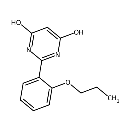 CCCOc1ccccc1-c1nc(O)cc(O)n1